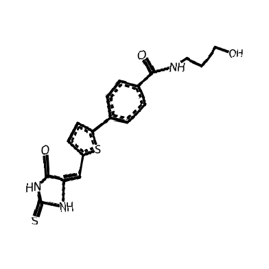 O=C1NC(=S)NC1=Cc1ccc(-c2ccc(C(=O)NCCCO)cc2)s1